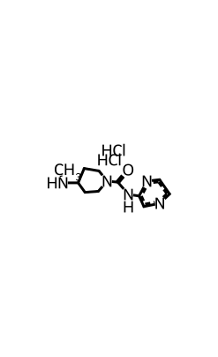 CNC1CCN(C(=O)Nc2cnccn2)CC1.Cl.Cl